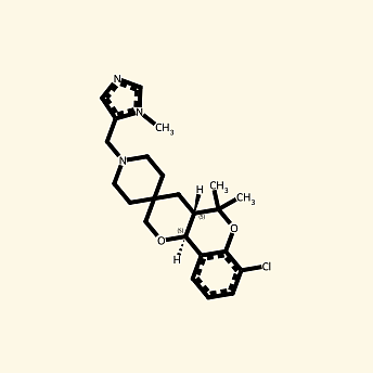 Cn1cncc1CN1CCC2(CC1)CO[C@@H]1c3cccc(Cl)c3OC(C)(C)[C@H]1C2